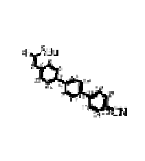 CCCC/C(F)=C\c1ccc(-c2ccc(-c3ccc(C#N)cc3)cc2)cc1